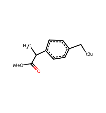 COC(=O)C(C)c1ccc(CC(C)(C)C)cc1